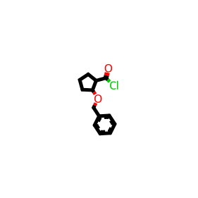 O=C(Cl)C1CCCC1OCc1ccccc1